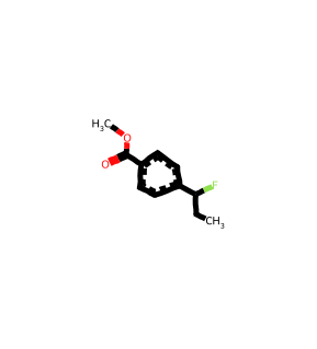 CCC(F)c1ccc(C(=O)OC)cc1